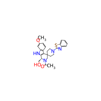 COc1ccc2c3c([nH]c2c1)[C@H](CO)N(C(C)=O)CC31CCN(c2nc3ccccc3s2)CC1